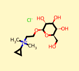 C[N+](C)(CCO[C@@H]1O[C@H](CO)[C@@H](O)[C@H](O)[C@H]1O)C1CC1.[Cl-]